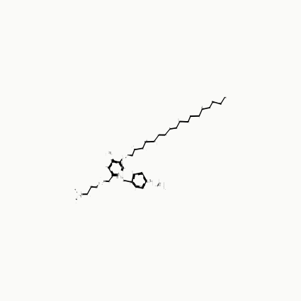 CCCCCCCCCCCCCCCCCCOc1cn(Cc2ccccc2)c(COCCCN(C)C)cc1=O.Cl.Cl